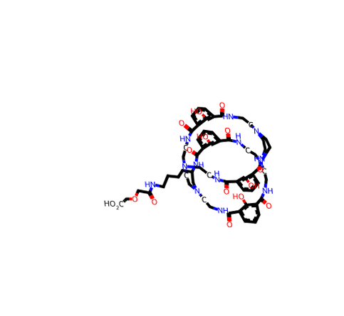 O=C(O)COCC(=O)NCCCCC1CN2CCNC(=O)c3cccc(c3O)C(=O)NCCN(CCNC(=O)c3cccc(c3O)C(=O)N1)CCN1CCNC(=O)c3cccc(c3O)C(=O)NCCN(CCNC(=O)c3cccc(c3O)C(=O)NCC1)CC2